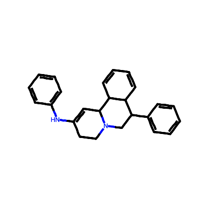 C1=CC2C(c3ccccc3)CN3CCC(Nc4ccccc4)=CC3C2C=C1